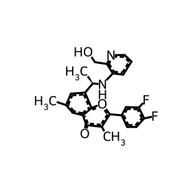 Cc1cc([C@@H](C)Nc2cccnc2CO)c2oc(-c3ccc(F)c(F)c3)c(C)c(=O)c2c1